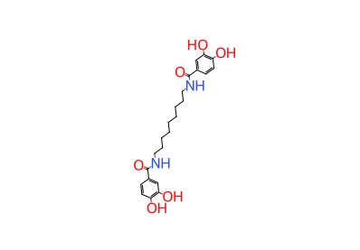 O=C(NCCCCCCCCCNC(=O)c1ccc(O)c(O)c1)c1ccc(O)c(O)c1